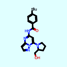 CC(C)(C)c1ccc(C(=O)Nc2cc(N3CCCC3CO)n3nccc3n2)cc1